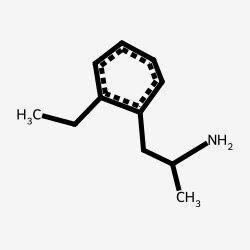 CCc1ccccc1CC(C)N